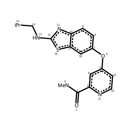 CNC(=O)c1cc(Oc2ccc3nc(NCC(C)C)sc3c2)ccn1